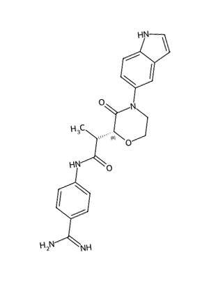 CC(C(=O)Nc1ccc(C(=N)N)cc1)[C@H]1OCCN(c2ccc3[nH]ccc3c2)C1=O